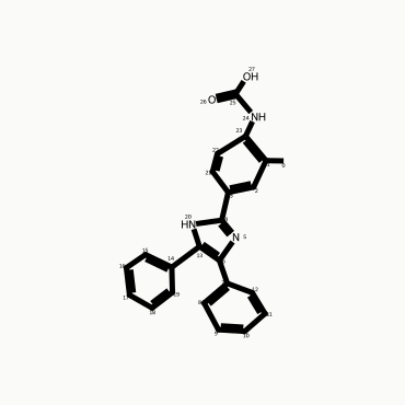 Cc1cc(-c2nc(-c3ccccc3)c(-c3ccccc3)[nH]2)ccc1NC(=O)O